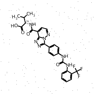 CC(C)[C@H](NC(=O)c1ccnn2c(-c3ccc(NC(=O)Nc4ccccc4C(F)(F)F)cc3)nnc12)C(=O)O